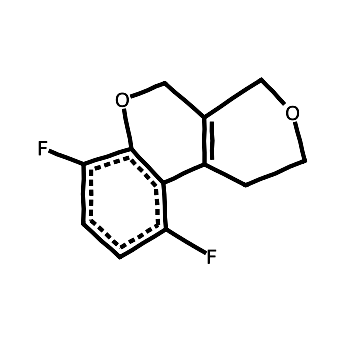 Fc1ccc(F)c2c1OCC1=C2CCOC1